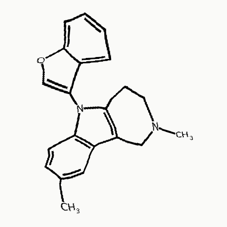 Cc1ccc2c(c1)c1c(n2-c2coc3ccccc23)CCN(C)C1